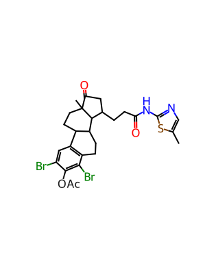 CC(=O)Oc1c(Br)cc2c(c1Br)CCC1C2CCC2(C)C(=O)CC(CCC(=O)Nc3ncc(C)s3)C12